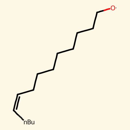 CCCC/C=C\CCCCCCCC[O]